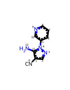 [C-]#[N+]c1cnn(-c2cccnc2)c1N